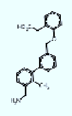 Cc1c(CN)cccc1-c1cccc(COc2ccccc2CC(=O)O)c1